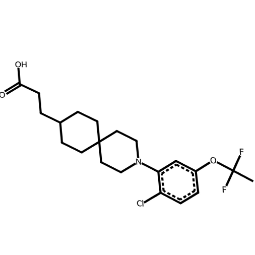 CC(F)(F)Oc1ccc(Cl)c(N2CCC3(CCC(CCC(=O)O)CC3)CC2)c1